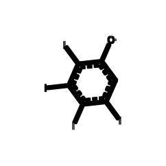 [O]c1cc(I)c(I)c(I)c1I